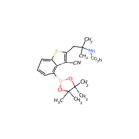 CC(C)(Cc1sc2cccc(B3OC(C)(C)C(C)(C)O3)c2c1C#N)NC(=O)O